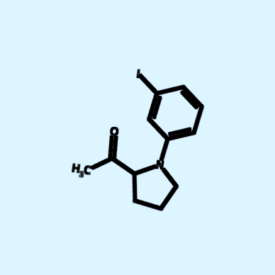 CC(=O)C1CCCN1c1cccc(I)c1